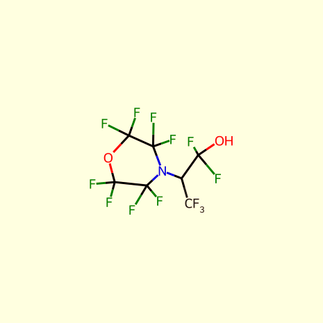 OC(F)(F)C(N1C(F)(F)C(F)(F)OC(F)(F)C1(F)F)C(F)(F)F